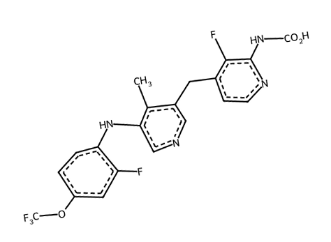 Cc1c(Cc2ccnc(NC(=O)O)c2F)cncc1Nc1ccc(OC(F)(F)F)cc1F